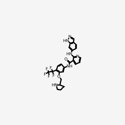 O=C(Nc1ccc(C(F)(F)C(F)(F)F)c(OCC2CCCN2)c1)c1cccnc1Nc1ccc2cn[nH]c2c1